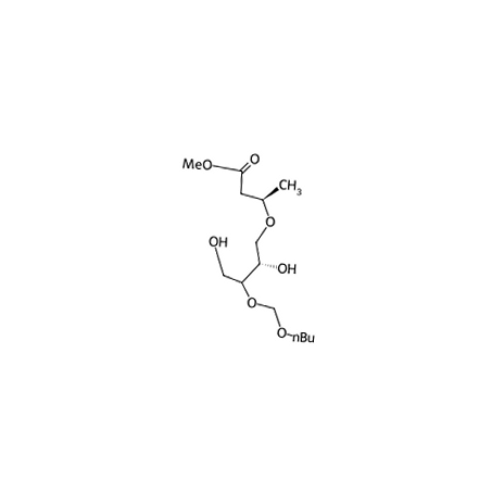 CCCCOCOC(CO)[C@@H](O)CO[C@H](C)CC(=O)OC